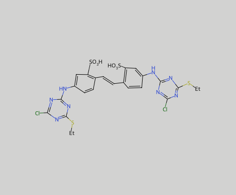 CCSc1nc(Cl)nc(Nc2ccc(C=Cc3ccc(Nc4nc(Cl)nc(SCC)n4)cc3S(=O)(=O)O)c(S(=O)(=O)O)c2)n1